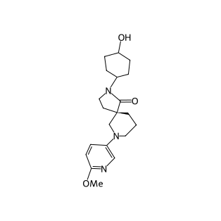 COc1ccc(N2CCC[C@]3(CCN(C4CCC(O)CC4)C3=O)C2)cn1